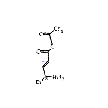 CC[C@H](N)/C=C/C(=O)OC(=O)C(F)(F)F